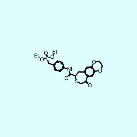 CCOP(=O)(Cc1ccc(NC(=O)C2Cc3cc4c(cc3C(=O)CS2)OCCO4)cc1)OCC